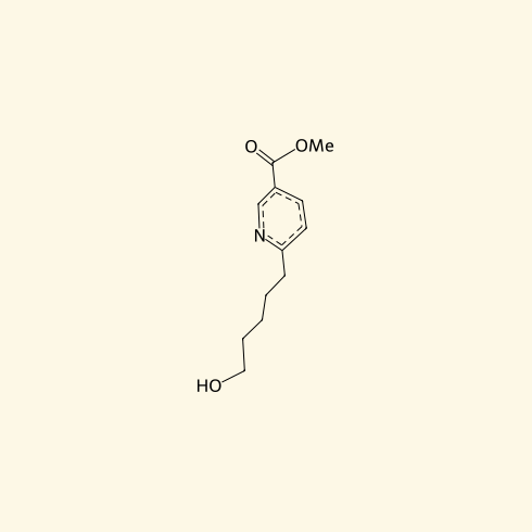 COC(=O)c1ccc(CCCCCO)nc1